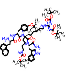 CC(C)(C)OC(=O)N=C(NCCCCCC[C@@](CCCCNC(=O)OC(C)(C)C)(NC(=O)[C@H](Cc1ccc(OC(C)(C)C)cc1)NC(=O)[C@@H](N)Cc1cccc2ccccc12)C(=O)N[C@@H](Cc1c[nH]c2ccccc12)C(N)=O)NC(=O)OC(C)(C)C